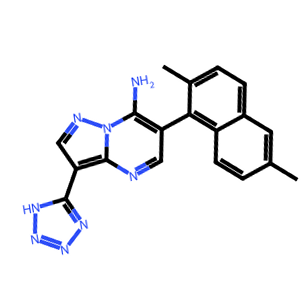 Cc1ccc2c(-c3cnc4c(-c5nnn[nH]5)cnn4c3N)c(C)ccc2c1